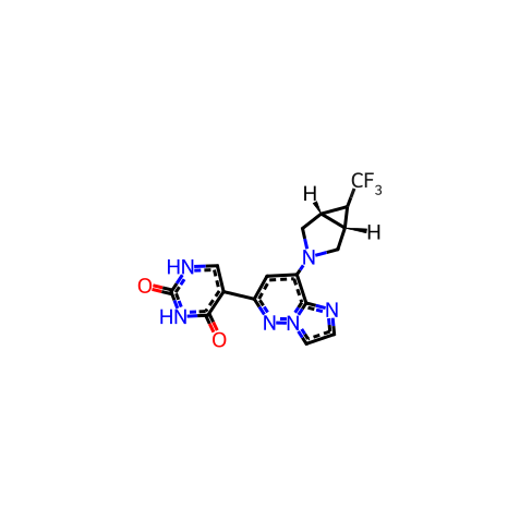 O=c1[nH]cc(-c2cc(N3C[C@@H]4C(C(F)(F)F)[C@@H]4C3)c3nccn3n2)c(=O)[nH]1